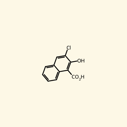 O=C(O)c1c(O)c(Cl)cc2ccccc12